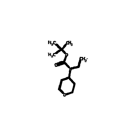 [CH2]CN(C(=O)OC(C)(C)C)C1CCOCC1